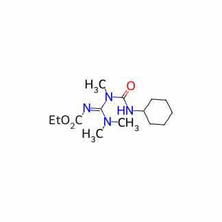 CCOC(=O)N=C(N(C)C)N(C)C(=O)NC1CCCCC1